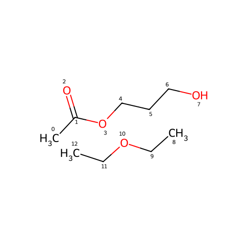 CC(=O)OCCCO.CCOCC